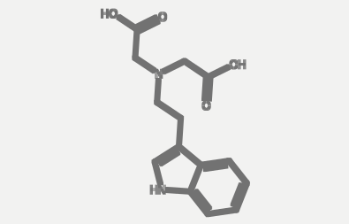 O=C(O)CN(CCc1c[nH]c2ccccc12)CC(=O)O